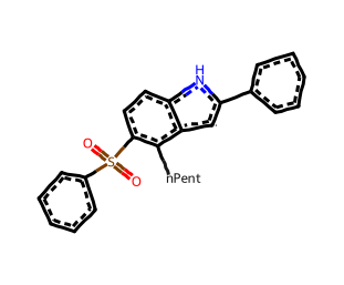 CCCCCc1c(S(=O)(=O)c2ccccc2)ccc2[nH]c(-c3ccccc3)[c]c12